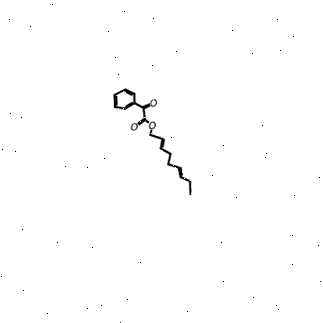 CCC=CCCC=CCOC(=O)C(=O)c1ccccc1